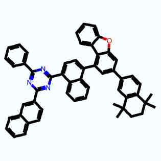 CC1(C)CCC(C)(C)c2cc(-c3cc(-c4ccc(-c5nc(-c6ccccc6)nc(-c6ccc7ccccc7c6)n5)c5ccccc45)c4c(c3)oc3ccccc34)ccc21